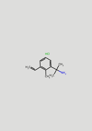 C=Cc1cccc(C(C)(C)N)c1C.Cl